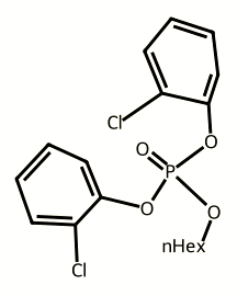 CCCCCCOP(=O)(Oc1ccccc1Cl)Oc1ccccc1Cl